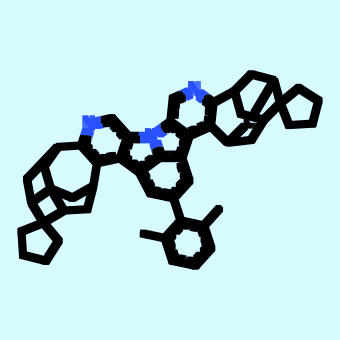 Cc1cccc(C)c1-c1cc2c3c4c(ncc3n3c5cnc6c(c5c(c1)c23)C1CC2C3(CCCC3)C3CC6CC32C1)C1CC2CC4CC(C1)C21CCCC1